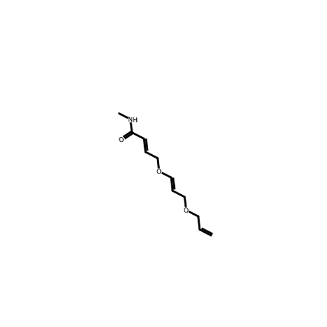 C=CCOC/C=C/OC/C=C/C(=O)NC